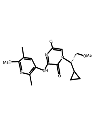 COC[C@H](C1CC1)n1cc(Cl)nc(Nc2cc(C)c(OC)nc2C)c1=O